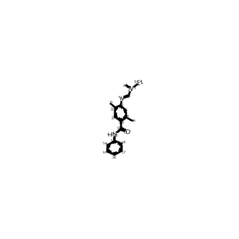 CCN(C)C=Nc1cc(C)c(C(=O)Nc2ccccc2)cc1C